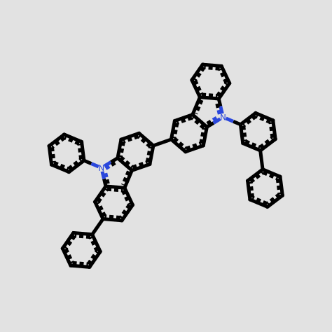 c1ccc(-c2cccc(-n3c4ccccc4c4cc(-c5ccc6c(c5)c5ccc(-c7ccccc7)cc5n6-c5ccccc5)ccc43)c2)cc1